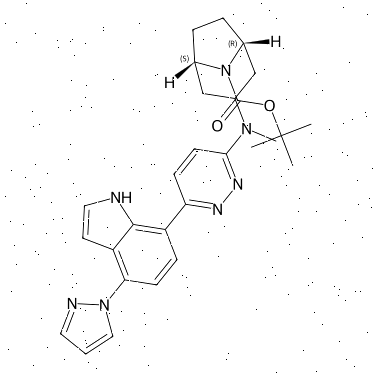 CN(c1ccc(-c2ccc(-n3cccn3)c3cc[nH]c23)nn1)C1C[C@H]2CC[C@@H](C1)N2C(=O)OC(C)(C)C